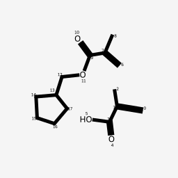 C=C(C)C(=O)O.C=C(C)C(=O)OCC1CCCC1